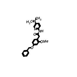 COc1cc(OCc2ccccc2)ccc1CC(=O)Nc1ccc(N(C)C)cn1